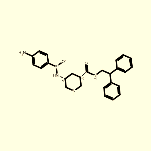 Nc1ccc([S+]([O-])N[C@H]2CNC[C@@H](C(=O)NCC(c3ccccc3)c3ccccc3)C2)cc1